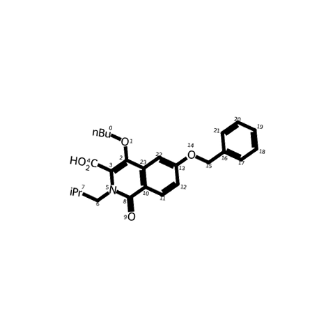 CCCCOc1c(C(=O)O)n(CC(C)C)c(=O)c2ccc(OCc3ccccc3)cc12